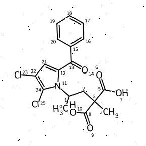 CC(CC(C)(C(=O)O)C(=O)O)n1c(C(=O)c2ccccc2)cc(Cl)c1Cl